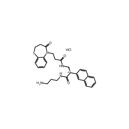 Cl.NCCCNC(=O)[C@@H](CNC(=O)CCN1C(=O)CCSc2ccccc21)c1ccc2ccccc2c1